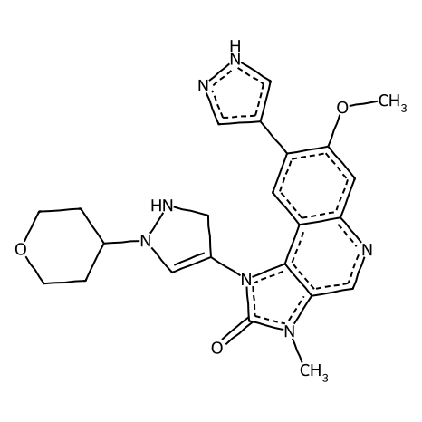 COc1cc2ncc3c(c2cc1-c1cn[nH]c1)n(C1=CN(C2CCOCC2)NC1)c(=O)n3C